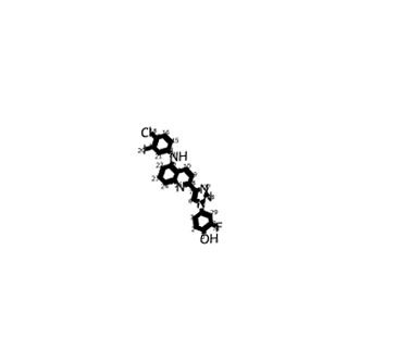 Oc1ccc(-n2cc(-c3ccc4c(Nc5ccc(Cl)c(I)c5)cccc4n3)nn2)cc1F